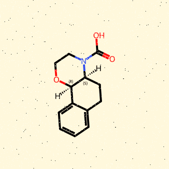 O=C(O)N1CCO[C@@H]2c3ccccc3CC[C@@H]21